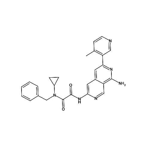 Cc1ccncc1-c1cc2cc(NC(=O)C(=O)N(Cc3ccccc3)C3CC3)ncc2c(N)n1